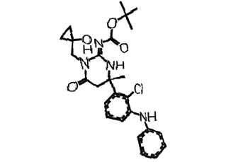 CC(C)(C)OC(=O)N=C1N[C@](C)(c2cccc(Nc3ccccc3)c2Cl)CC(=O)N1CC1(O)CC1